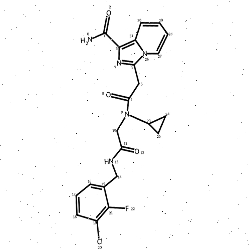 NC(=O)c1nc(CC(=O)N(CC(=O)NCc2cccc(Cl)c2F)C2CC2)n2ccccc12